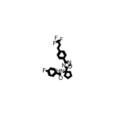 O=C(NC1(c2nc(-c3ccc(CCC(F)(F)F)cc3)no2)CCCC1)c1ccc(F)cc1